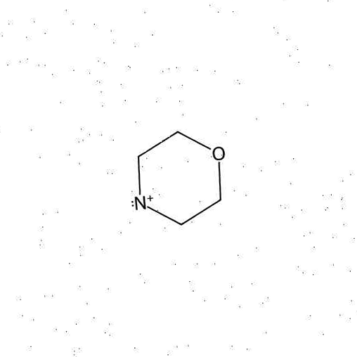 C1COCC[N+]1